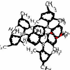 Cc1cc(C)c(B(c2ccc3c(B(c4c(C)cc(C)cc4C)c4c(C)cc(C)cc4C)ccc(B(c4c(C)cc(C)cc4C)c4c(C)cc(C)cc4C)c3c2)c2c(C)cc(C)cc2C)c(C)c1